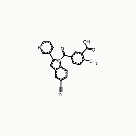 Cc1ccc(C(=O)n2c(-c3cccnc3)cc3cc(C#N)ccc32)cc1C(=O)O